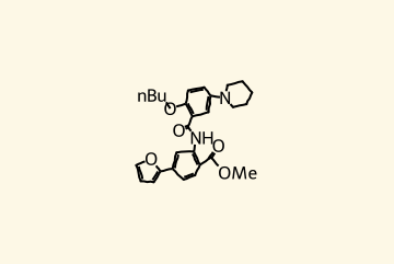 CCCCOc1ccc(N2CCCCC2)cc1C(=O)Nc1cc(-c2ccco2)ccc1C(=O)OC